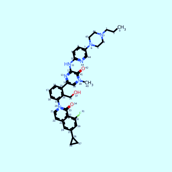 CCCN1CCN(c2ccc(Nc3nc(-c4cccc(-n5ccc6cc(C7CC7)cc(F)c6c5=O)c4CO)cn(C)c3=O)nc2)CC1